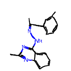 CC(=NNc1nc(C)nc2ccccc12)c1cccc(C)c1